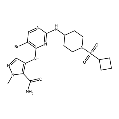 Cn1ncc(Nc2nc(NC3CCN(S(=O)(=O)C4CCC4)CC3)ncc2Br)c1C(N)=O